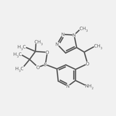 CC(Oc1cc(B2OC(C)(C)C(C)(C)O2)cnc1N)c1cnnn1C